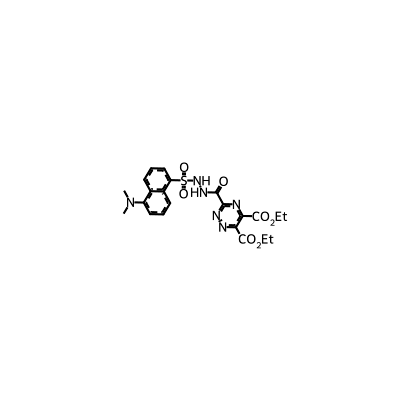 CCOC(=O)c1nnc(C(=O)NNS(=O)(=O)c2cccc3c(N(C)C)cccc23)nc1C(=O)OCC